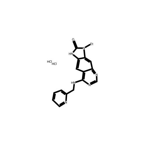 CCn1c(=O)[nH]c2cc3c(NCc4ccccn4)ncnc3cc21.Cl.Cl